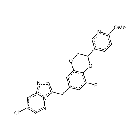 COc1ccc(C2COc3cc(Cc4cnc5cc(Cl)cnn45)cc(F)c3O2)cn1